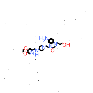 Nc1ccc2c(c1)N(CCN1CCC(NCc3cc4c(cn3)OCCO4)CC1)C(=O)CN2CCCO